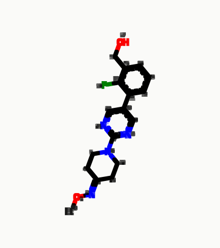 [CH2]CON=C1CCN(c2ncc(-c3cccc(CO)c3F)cn2)CC1